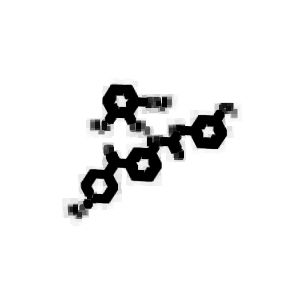 CN1CCC(C(=O)c2cccc(NC(=O)Nc3cccc(C(F)(F)F)c3)c2)CC1.Cc1cccc(S(=O)(=O)O)c1C